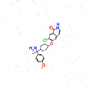 COc1ccc(C(C)(N)C2CCC(Oc3cc4cc[nH]c(=O)c4cc3Cl)CC2)cc1